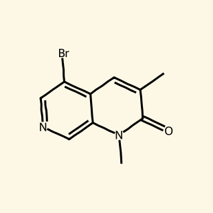 Cc1cc2c(Br)cncc2n(C)c1=O